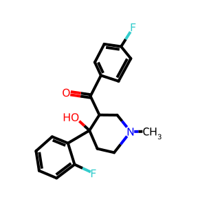 CN1CCC(O)(c2ccccc2F)C(C(=O)c2ccc(F)cc2)C1